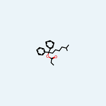 CCC(=O)OC(CCCCC(C)C)(c1ccccc1)c1ccccc1